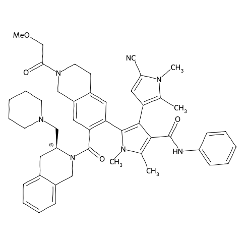 COCC(=O)N1CCc2cc(-c3c(-c4cc(C#N)n(C)c4C)c(C(=O)Nc4ccccc4)c(C)n3C)c(C(=O)N3Cc4ccccc4C[C@H]3CN3CCCCC3)cc2C1